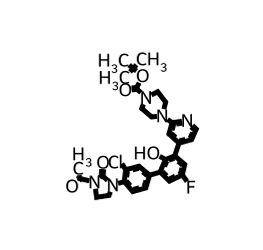 CC(=O)N1CCN(c2ccc(-c3cc(F)cc(-c4ccnc(N5CCN(C(=O)OC(C)(C)C)CC5)c4)c3O)cc2Cl)C1=O